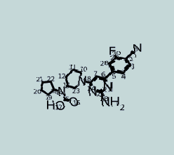 N#Cc1ccc(-c2cc(N3CCC[C@@H](N(C(=O)O)C4CCCC4)C3)nc(N)n2)cc1F